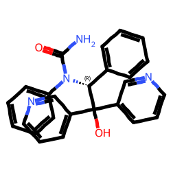 NC(=O)N(c1ccccc1)[C@H](c1ccccc1)C(O)(c1cccnc1)c1cccnc1